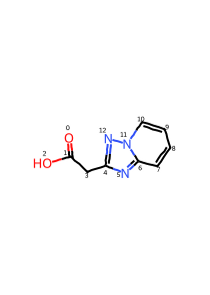 O=C(O)Cc1nc2ccccn2n1